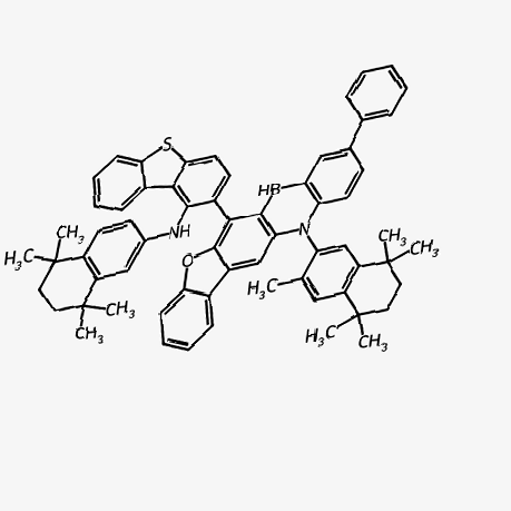 Cc1cc2c(cc1N1c3ccc(-c4ccccc4)cc3Bc3c1cc1c(oc4ccccc41)c3-c1ccc3sc4ccccc4c3c1Nc1ccc3c(c1)C(C)(C)CCC3(C)C)C(C)(C)CCC2(C)C